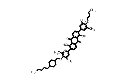 CCCCCC1CCC(COc2c(C)cc(-c3ccc4c(c3O)C(=O)c3ccc(-c5cc(C)c(OCCCC)c(C)c5)c(O)c3C4=O)nc2C)CC1